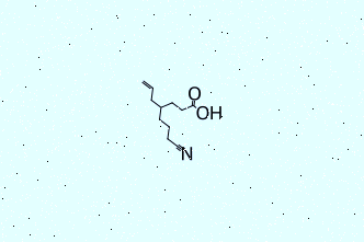 C=CCC(CCCC#N)CCC(=O)O